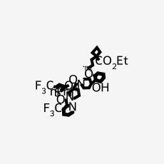 CCC[C@H]1N(C(=O)c2ncccc2C(F)(F)F)CCC[C@@]1(Oc1csc(C(F)(F)F)c1)C(=O)N1CCC(O)(c2ccccc2O[C@H](C)CCC2(C(=O)OCC)CCC2)CC1